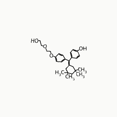 CC1(C)CC(=C(c2ccc(O)cc2)c2ccc(OCCOCCO)cc2)CC(C)(C)C1